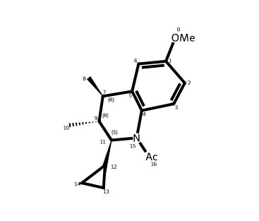 COc1ccc2c(c1)[C@H](C)[C@@H](C)[C@H](C1CC1)N2C(C)=O